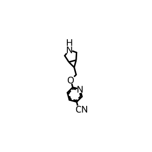 N#Cc1ccc(OCC2C3CNCC32)nc1